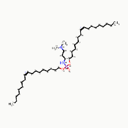 CCCCCCCC/C=C\CCCCCCCCOP(=O)(NCCCN(C)C)OCCCCCCCC/C=C\CCCCCCCC